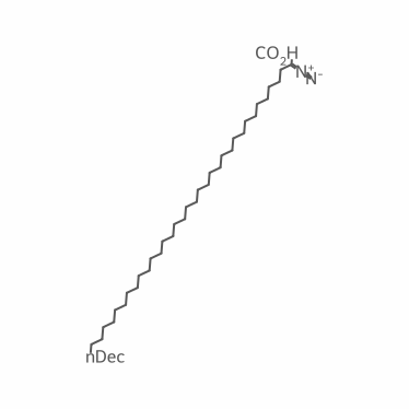 CCCCCCCCCCCCCCCCCCCCCCCCCCCCCCCCCCCCCCCCCCCC(=[N+]=[N-])C(=O)O